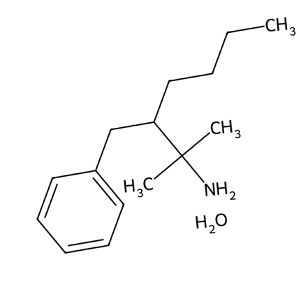 CCCCC(Cc1ccccc1)C(C)(C)N.O